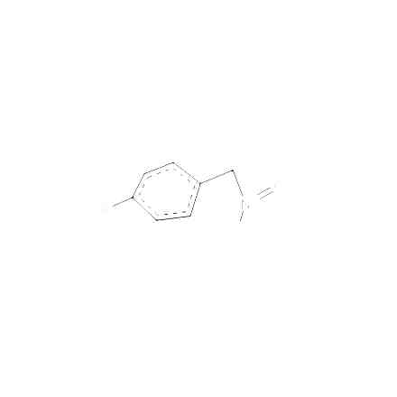 C=[N+]([O-])Cc1ccc(Br)cc1